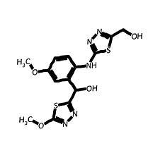 COc1ccc(Nc2nnc(CO)s2)c(C(O)c2nnc(OC)s2)c1